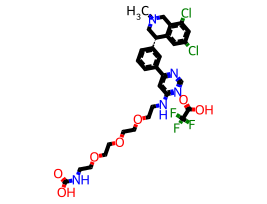 CN1Cc2c(Cl)cc(Cl)cc2[C@H](c2cccc(-c3cc(NCCOCCOCCOCCNC(=O)O)ncn3)c2)C1.O=C(O)C(F)(F)F